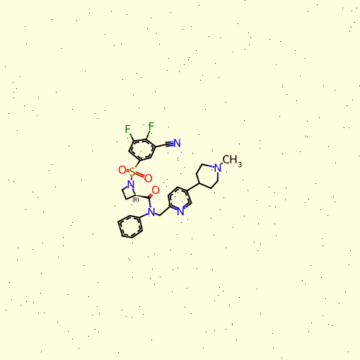 CN1CCC(c2ccc(CN(C(=O)[C@H]3CCN3S(=O)(=O)c3cc(F)c(F)c(C#N)c3)c3ccccc3)nc2)CC1